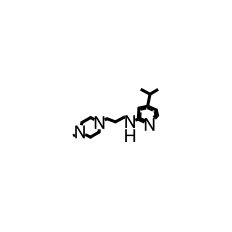 CC(C)c1ccnc(NCCCN2CCN(C)CC2)c1